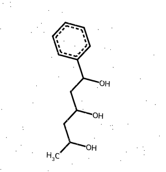 CC(O)CC(O)CC(O)c1ccccc1